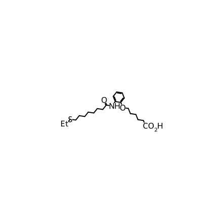 CCSCCCCCCCC(=O)Nc1ccccc1OCCCCCC(=O)O